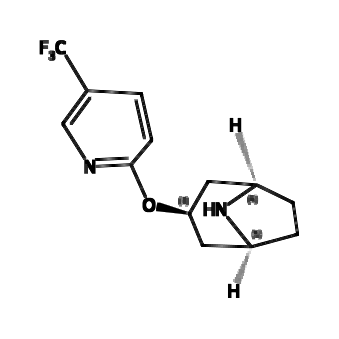 FC(F)(F)c1ccc(O[C@H]2C[C@H]3CC[C@@H](C2)N3)nc1